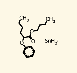 CCCCOC(=O)C(CCCC)Oc1ccccc1.[SnH2]